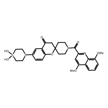 COc1cc(C(=O)N2CCC3(CC2)CC(=O)c2cc(N4CCS(O)(O)CC4)ccc2O3)nc2c(OC)cccc12